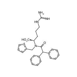 N=C(N)NCCC[C@H](C(=O)O)N(Cc1cccs1)C(=O)C(c1ccccc1)c1ccccc1